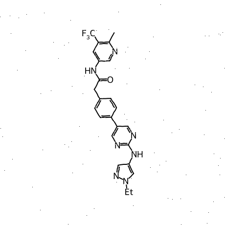 CCn1cc(Nc2ncc(-c3ccc(CC(=O)Nc4cnc(C)c(C(F)(F)F)c4)cc3)cn2)cn1